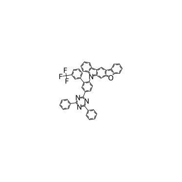 FC(F)(F)c1cccc(-c2cc(-c3nc(-c4ccccc4)nc(-c4ccccc4)n3)ccc2-n2c3ccccc3c3cc4c(cc32)oc2ccccc24)c1